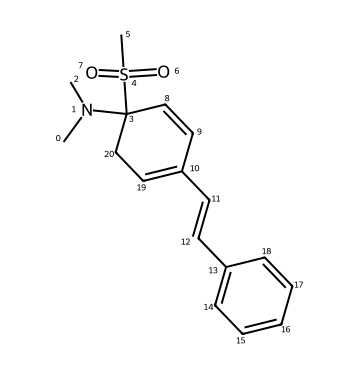 CN(C)C1(S(C)(=O)=O)C=CC(C=Cc2ccccc2)=CC1